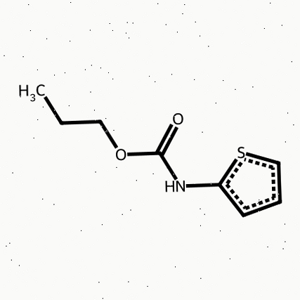 CCCOC(=O)Nc1cccs1